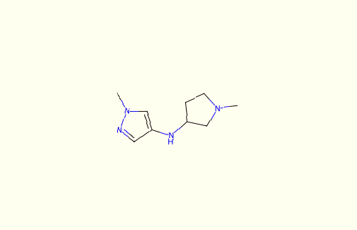 CN1CCC(Nc2cnn(C)c2)C1